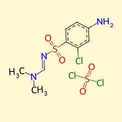 CN(C)C=NS(=O)(=O)c1ccc(N)cc1Cl.O=S(=O)(Cl)Cl